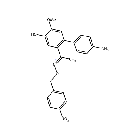 COc1cc(-c2ccc(N)cc2)c(/C(C)=N/OCc2ccc([N+](=O)[O-])cc2)cc1O